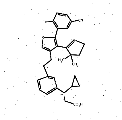 CC1(C)CCC=C1c1c(CCc2cccc([C@@H](CC(=O)O)C3CC3)c2)csc1-c1cc(C#N)ccc1F